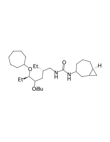 CC[C@H](CNC(=O)NC1CCC[C@H]2CC2C1)CC(OCC(C)C)[C@@H](CC)OC1CCCCCC1